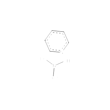 [CH2]CCN(C)C.[c]1cccnc1